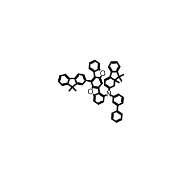 CC1(C)c2ccccc2-c2ccc(-c3c4oc5cccc(N(C6=CC=C7c8ccccc8C(C)(C)C7(C)C6)c6cccc(-c7ccccc7)c6)c5c4cc4oc5ccccc5c34)cc21